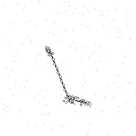 CSc1ncc(C(=O)NCCOCCOCCOCCOCCOCCOCCOCCOCCOCC(=O)N[C@H](C(=O)N[C@@H](CCCCNC(=O)OC(C)(C)C)C(=O)O)C(C)C)cn1